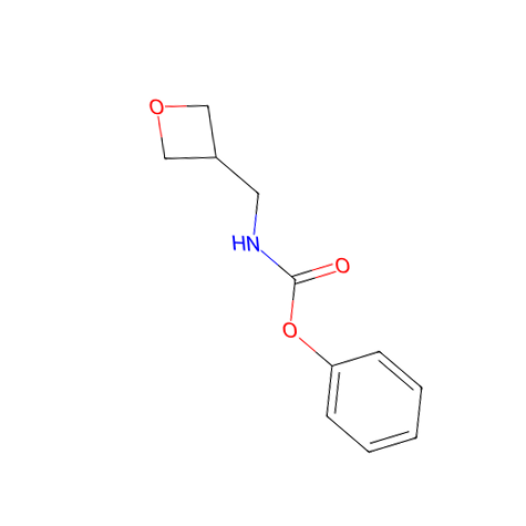 O=C(NCC1COC1)Oc1ccccc1